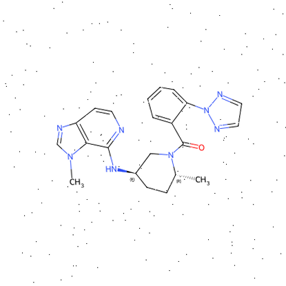 C[C@@H]1CC[C@@H](Nc2nccc3ncn(C)c23)CN1C(=O)c1ccccc1-n1nccn1